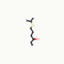 CCC(=O)CCCSC(C)C